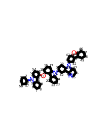 c1ccc(-n2c3ccccc3c3c(Oc4cccc5c4c4ccccc4n5-c4ccc5c(c4)c4ncccc4n5-c4ccc5oc6ccccc6c5c4)cccc32)cc1